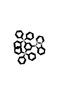 C1=CN2c3ccccc3N(c3cc([Si](c4ccccc4)(c4ccccc4)c4ccccc4)cc([Si](c4ccccc4)(c4ccccc4)c4ccccc4)c3)N2C=C1